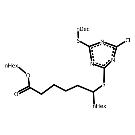 CCCCCCCCCCSc1nc(Cl)nc(SC(CCCCCC)CCCCC(=O)OCCCCCC)n1